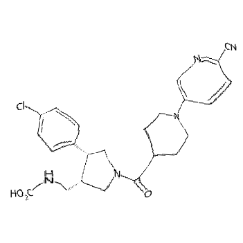 N#Cc1ccc(N2CCC(C(=O)N3C[C@H](CNC(=O)O)[C@H](c4ccc(Cl)cc4)C3)CC2)cn1